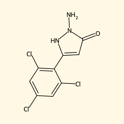 Nn1[nH]c(-c2c(Cl)cc(Cl)cc2Cl)cc1=O